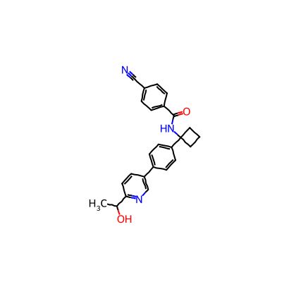 CC(O)c1ccc(-c2ccc(C3(NC(=O)c4ccc(C#N)cc4)CCC3)cc2)cn1